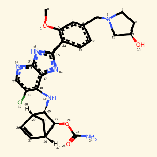 COc1cc(CN2CC[C@@H](O)C2)ccc1-c1nc2c(N[C@H]3[C@@H](OC(N)=O)[C@@H]4C=C[C@H]3C4)c(Cl)cnc2[nH]1